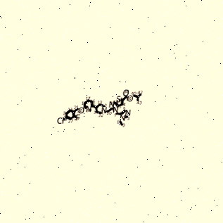 CCn1cncc1Cn1c(CN2CCC(c3cccc(OCc4ccc(Cl)cc4F)n3)CC2)nc2sc(C(=O)OCC(C)C)cc21